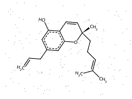 C=CCc1cc(O)c2c(c1)O[C@@](C)(CCC=C(C)C)C=C2